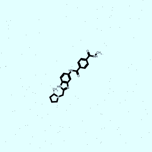 CNC(=O)c1ccc(C(=O)Nc2ccc3[nH]c(CN4CCC[C@@H]4C)nc3c2)cc1